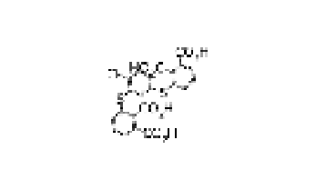 O=C(O)c1cccc(Sc2ccc(Cl)c(Sc3cccc(C(=O)O)c3C(=O)O)c2)c1C(=O)O